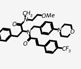 COCCN(C)C(=O)C(Cc1ccccc1)N(Cc1ccc(N2CCOCC2)cc1)C(=O)C=Cc1ccc(C(F)(F)F)cc1